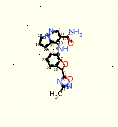 Cc1noc(C2Oc3c(Nc4c(C(N)=O)cnn5cccc45)cccc32)n1